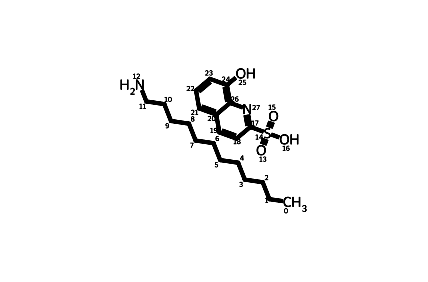 CCCCCCCCCCCCN.O=S(=O)(O)c1ccc2cccc(O)c2n1